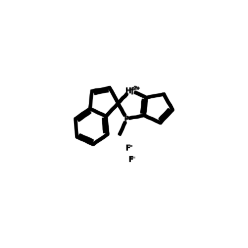 CP1C2=[C](CC=C2)[Hf+2][C]12C=Cc1ccccc12.[F-].[F-]